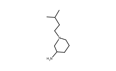 CC(C)CCN1CCCC(N)C1